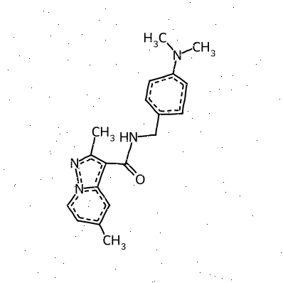 Cc1ccn2nc(C)c(C(=O)NCc3ccc(N(C)C)cc3)c2c1